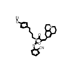 CCOc1ccc(CCCCN2C(=O)/C(=C\C3C=C4CCCN5CCCC(=C45)C3)O/C2=N\c2ccccc2C#N)cc1